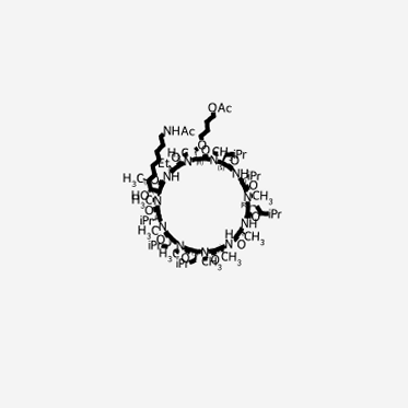 CC[C@H]1NC(=O)[C@H]([C@H](O)[C@H](C)CCCCCCNC(C)=O)N(C)C(=O)[C@@H](C(C)C)N(C)C(=O)[C@@H](CC(C)C)N(C)C(=O)[C@H](CC(C)C)N(C)C(=O)[C@H](C)NC(=O)[C@@H](C)NC(=O)[C@@H](CCC(C)C)N(C)C(=O)[C@@H](C(C)C)NC(=O)[C@H](CC(C)C)N(C)C(=O)[C@@H](COCCCCOC(C)=O)N(C)C1=O